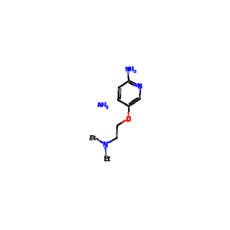 CCN(CC)CCOc1ccc(N)nc1.N